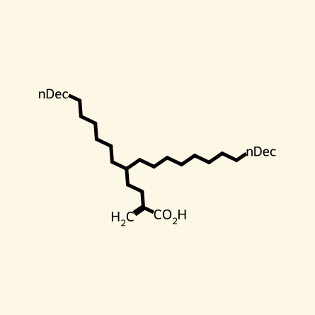 C=C(CCC(CCCCCCCCCCCCCCCC)CCCCCCCCCCCCCCCCCC)C(=O)O